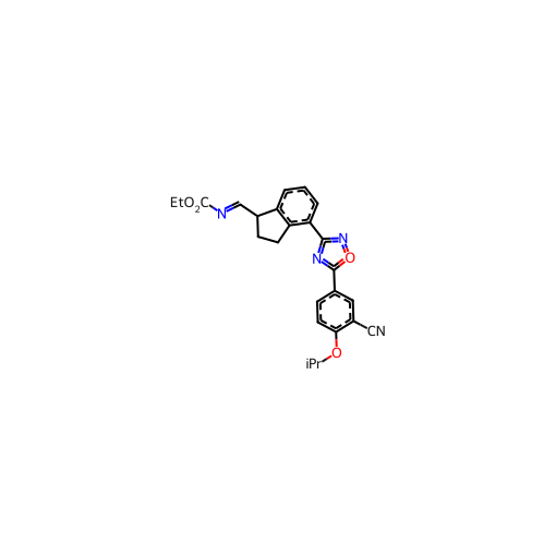 CCOC(=O)/N=C/C1CCc2c(-c3noc(-c4ccc(OC(C)C)c(C#N)c4)n3)cccc21